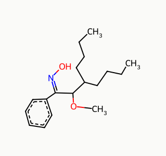 CCCCC(CCCC)C(OC)C(=NO)c1ccccc1